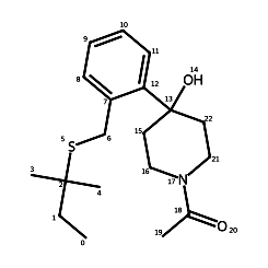 CCC(C)(C)SCc1ccccc1C1(O)CCN(C(C)=O)CC1